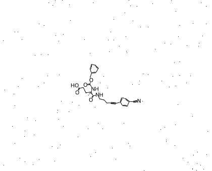 N#Cc1ccc(C#CCCCNC(=O)[C@@H](CCC(=O)O)NC(=O)OCc2ccccc2)cc1